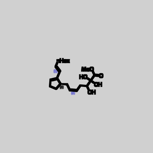 CCCCCC/C=C/C1=CCC[C@@H]1C/C=C\CC(O)C(O)(O)C(=O)OC